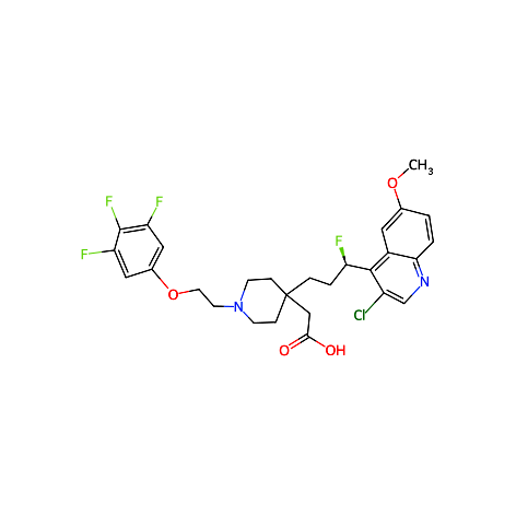 COc1ccc2ncc(Cl)c([C@H](F)CCC3(CC(=O)O)CCN(CCOc4cc(F)c(F)c(F)c4)CC3)c2c1